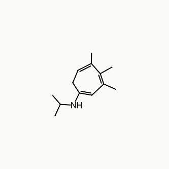 CC1=CCC(NC(C)C)=CC(C)=C1C